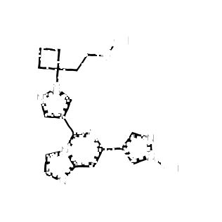 COCCC1(n2cc(-c3nc(-c4cnn(C)c4)cc4nccn34)cn2)CCC1